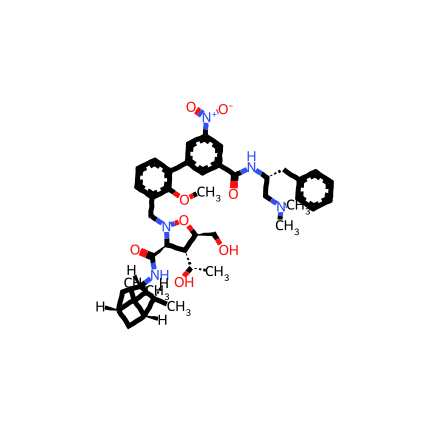 COc1c(CN2O[C@@H](CO)[C@H]([C@H](C)O)[C@H]2C(=O)N[C@H]2C[C@H]3C[C@@H]([C@@H]2C)C3(C)C)cccc1-c1cc(C(=O)N[C@H](Cc2ccccc2)CN(C)C)cc([N+](=O)[O-])c1